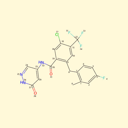 Cc1cc(F)ccc1Cc1cc(C(F)(F)F)c(Cl)cc1C(=O)Nc1cn[nH]c(=O)c1